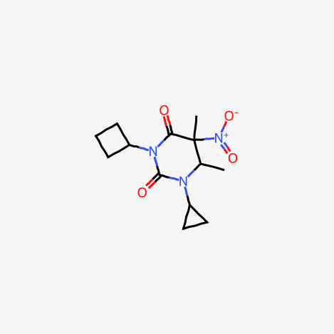 CC1N(C2CC2)C(=O)N(C2CCC2)C(=O)C1(C)[N+](=O)[O-]